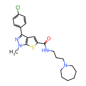 Cn1nc(-c2ccc(Cl)cc2)c2cc(C(=O)NCCCN3CCCCCC3)sc21